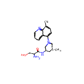 C[C@@H]1CC(NC(=O)C(N)CO)CN(c2ccc(C#N)c3ncccc23)C1